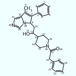 CC1=C(c2ccccc2)C(CC(O)C2CCN(C(=O)Cc3ccccc3)CC2)n2cncc21